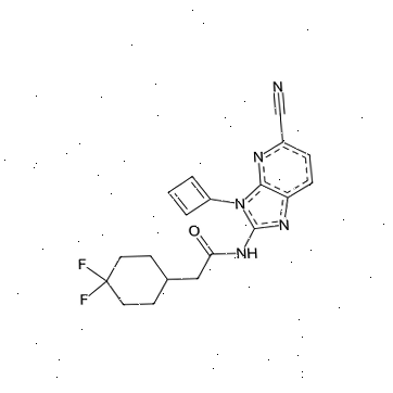 N#Cc1ccc2nc(NC(=O)CC3CCC(F)(F)CC3)n(C3=CC=C3)c2n1